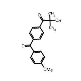 COc1ccc(C(=O)c2ccc(C(=O)C(C)(C)O)cc2)cc1